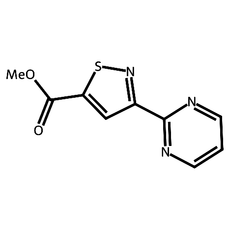 COC(=O)c1cc(-c2ncccn2)ns1